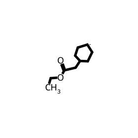 CCOC(=O)CC1CC[CH]CC1